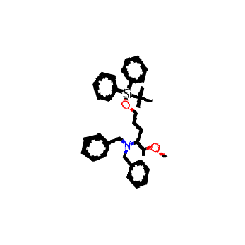 COC(C)C(CCCO[Si](c1ccccc1)(c1ccccc1)C(C)(C)C)N(Cc1ccccc1)Cc1ccccc1